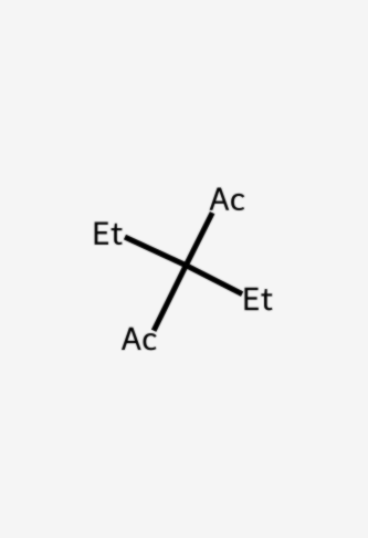 CCC(CC)(C(C)=O)C(C)=O